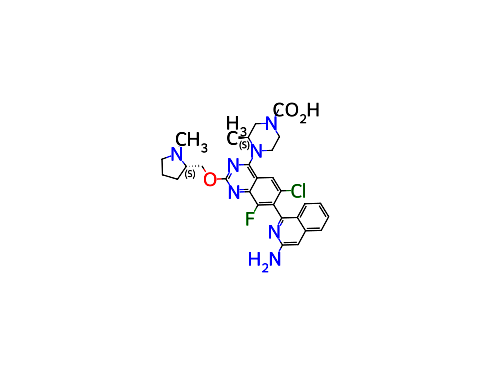 C[C@H]1CN(C(=O)O)CCN1c1nc(OC[C@@H]2CCCN2C)nc2c(F)c(-c3nc(N)cc4ccccc34)c(Cl)cc12